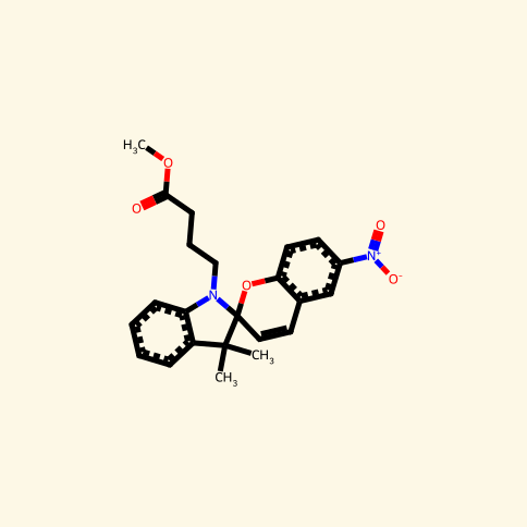 COC(=O)CCCN1c2ccccc2C(C)(C)C12C=Cc1cc([N+](=O)[O-])ccc1O2